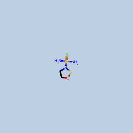 NP(N)(=S)N1CCOS1